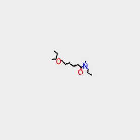 CCCN(C)C(=O)CCCCCOC(C)CC